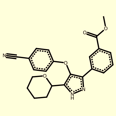 COC(=O)c1cccc(-c2n[nH]c(C3CCCCO3)c2Oc2ccc(C#N)cc2)c1